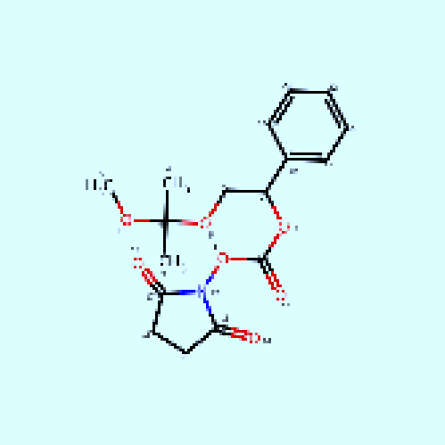 COC(C)(C)OCC(OC(=O)ON1C(=O)CCC1=O)c1ccccc1